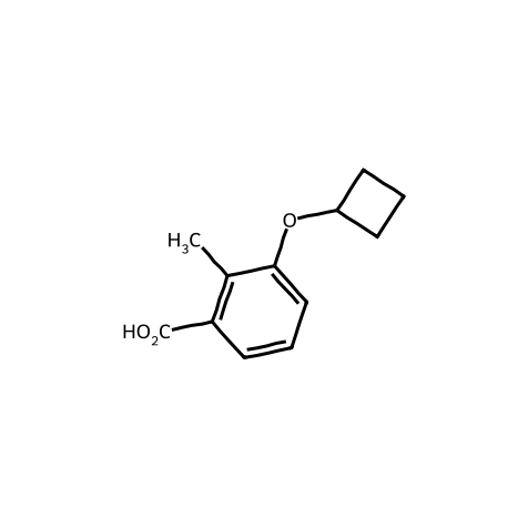 Cc1c(OC2CCC2)cccc1C(=O)O